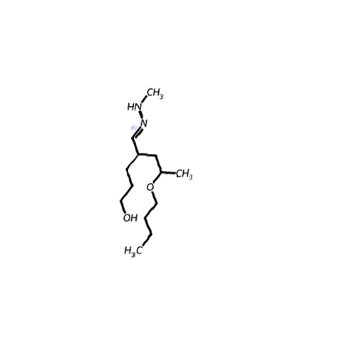 CCCCOC(C)CC(/C=N/NC)CCCO